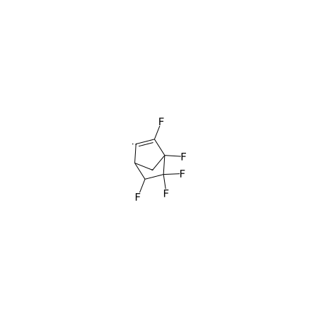 FC1=[C]C2CC1(F)C(F)(F)C2F